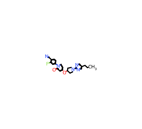 CCCc1cnc(N2CCC(Oc3ccn(-c4ccc(C#N)c(F)c4)c(=O)c3)CC2)nc1